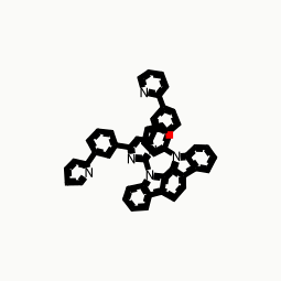 c1ccc(-n2c3ccccc3c3ccc4c5ccccc5n(-c5nc(-c6cccc(-c7ccccn7)c6)cc(-c6cccc(-c7ccccn7)c6)n5)c4c32)cc1